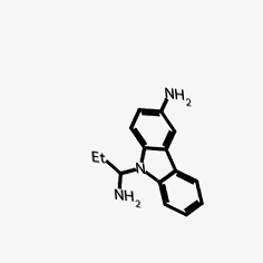 CCC(N)n1c2ccccc2c2cc(N)ccc21